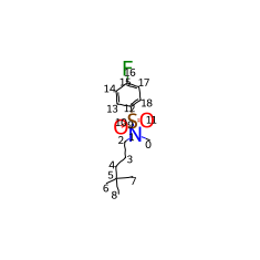 CN(CCCC(C)(C)C)S(=O)(=O)c1ccc(F)cc1